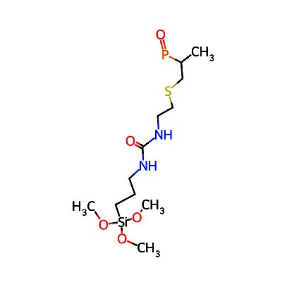 CO[Si](CCCNC(=O)NCCSCC(C)P=O)(OC)OC